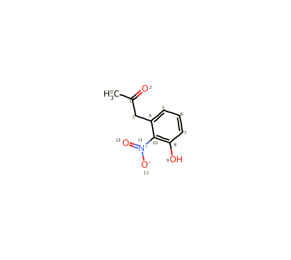 CC(=O)Cc1cccc(O)c1[N+](=O)[O-]